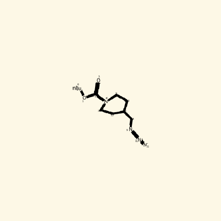 CCCCOC(=O)N1CCC(CN=[N+]=[N-])CC1